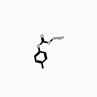 CCCCCCCOC(=O)Oc1ccc(C)cc1